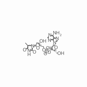 Cc1cn([C@H]2C[C@H](O)[C@@H](COP(=O)(O)O[C@H]3C[C@H](n4cnc5c(N)ncnc54)O[C@@H]3CO)O2)c(=O)[nH]c1=O